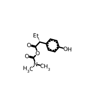 CC[C@@H](C(=O)OC(=O)N(C)C)c1ccc(O)cc1